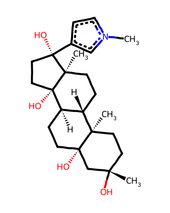 Cn1ccc([C@]2(O)CC[C@]3(O)[C@@H]4CC[C@]5(O)C[C@@](C)(O)CC[C@]5(C)[C@H]4CC[C@]23C)c1